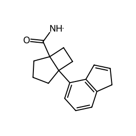 [NH]C(=O)C12CCCC1(c1cccc3c1C=CC3)CC2